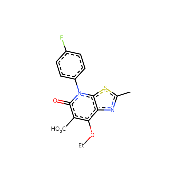 CCOc1c(C(=O)O)c(=O)n(-c2ccc(F)cc2)c2sc(C)nc12